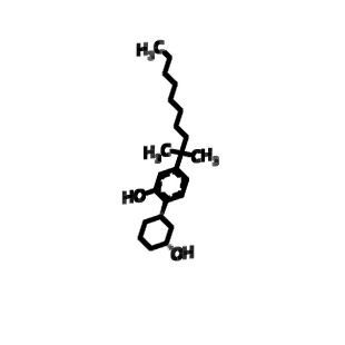 CCCCCCCCC(C)(C)c1ccc([C@@H]2CCC[C@@H](O)C2)c(O)c1